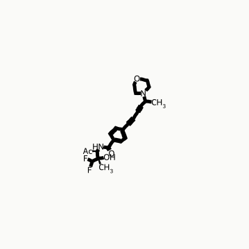 CC(=O)[C@@H](NC(=O)c1ccc(C#CC#CC(C)N2CCOCC2)cc1)[C@](C)(O)C(F)F